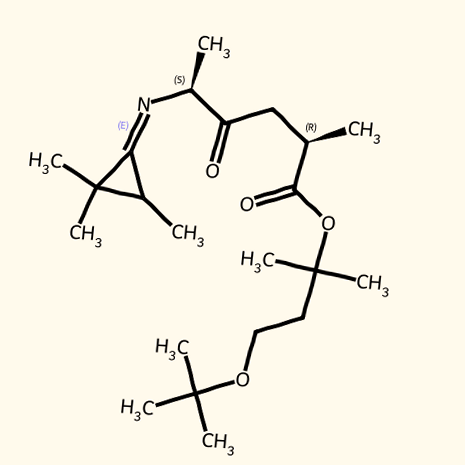 CC1/C(=N\[C@@H](C)C(=O)C[C@@H](C)C(=O)OC(C)(C)CCOC(C)(C)C)C1(C)C